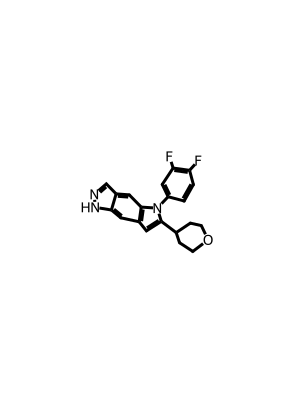 Fc1ccc(-n2c(C3CCOCC3)cc3cc4[nH]ncc4cc32)cc1F